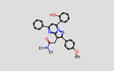 CCCOc1ccc(-c2nn3c(-c4ccccc4O)cc(-c4ccccc4)nc3c2CC(=O)N(CC)CC)cc1